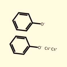 [Cs+].[Cs+].[O-]c1ccccc1.[O-]c1ccccc1